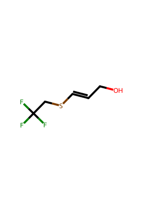 OCC=CSCC(F)(F)F